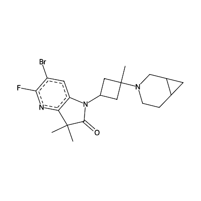 CC1(C)C(=O)N(C2CC(C)(N3CCC4CC4C3)C2)c2cc(Br)c(F)nc21